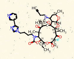 C#CCCN(C)[C@H]1C[C@@H](C)O[C@H]2O[C@@H]3[C@@H](C)C(=O)[C@](C)(F)C(=O)O[C@H](CC)[C@@]4(C)OC(=O)N(CCCCn5cnc(-c6cccnc6)c5)C4[C@@H](C)C(=O)[C@H](C)CC3(OC)C21